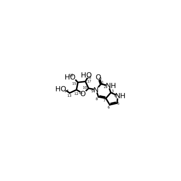 O=C1NC2NC=CC2=CN1C1OC(CO)C(O)C1O